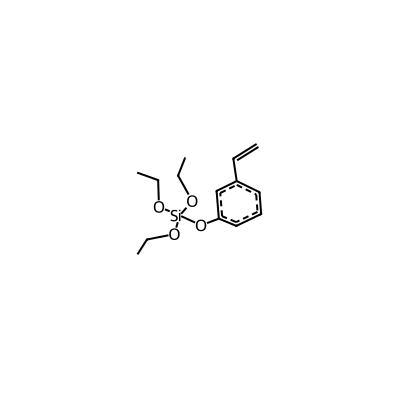 C=Cc1cccc(O[Si](OCC)(OCC)OCC)c1